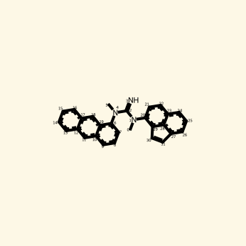 CN(C(=N)N(C)c1cccc2cc3ccccc3cc12)c1ccc2cccc3c2c1C=C3